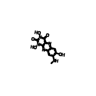 CBc1cc2nc3c(nc2cc1O)c(=O)n(O)c(=O)n3O